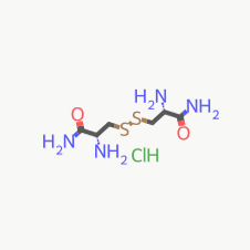 Cl.NC(=O)[C@@H](N)CSSC[C@H](N)C(N)=O